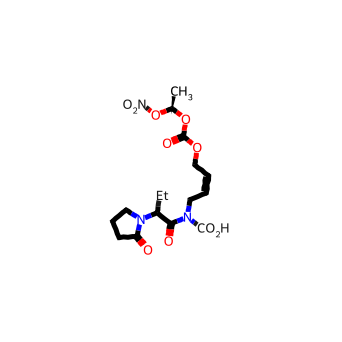 CCC(C(=O)N(C/C=C\COC(=O)O[C@H](C)O[N+](=O)[O-])C(=O)O)N1CCCC1=O